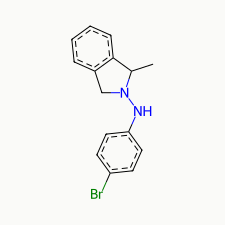 CC1c2ccccc2CN1Nc1ccc(Br)cc1